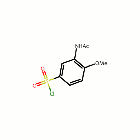 COc1ccc(S(=O)(=O)Cl)cc1NC(C)=O